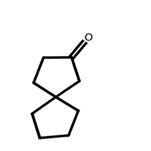 O=C1CCC2(CCCC2)C1